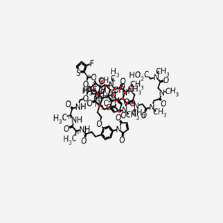 C[C@H](NC(=O)CCc1ccc(N2C(=O)C=CC2=O)cc1OCCCC(=O)N(C)CC(=O)N(C)CC(=O)N(C)CC(=O)N(C)CC(=O)N(C)CC(=O)N(C)CC(=O)N(C)CC(=O)N(C)CC(=O)N(C)CC(=O)N(C)CC(=O)O)C(=O)N[C@@H](C)C(=O)NCOCC(=O)[C@@]12O[C@H](c3sccc3F)O[C@@H]1C[C@H]1[C@@H]3CCC4=CC(=O)C=C[C@]4(C)[C@H]3[C@@H](O)C[C@@]12C